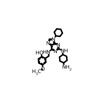 COc1ccc(O)c(CNc2nc(NC3CCC(N)CC3)nc3c2ncn3C2CCCCC2)c1